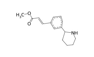 COC(=O)/C=C/c1cccc(C2CCCCN2)c1